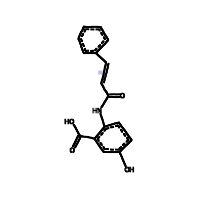 O=C(/C=C/c1ccccc1)Nc1ccc(O)cc1C(=O)O